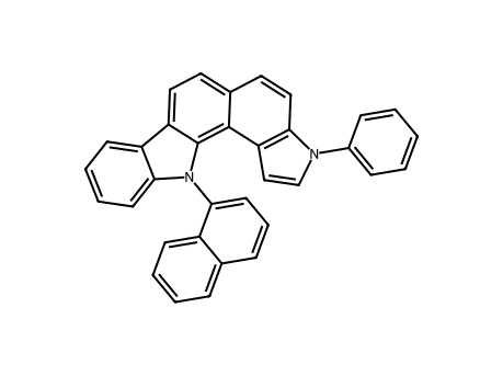 c1ccc(-n2ccc3c4c(ccc5c6ccccc6n(-c6cccc7ccccc67)c54)ccc32)cc1